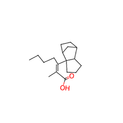 CCCCC(=C(C)C(=O)O)C12CCCC1C1CCC2C1